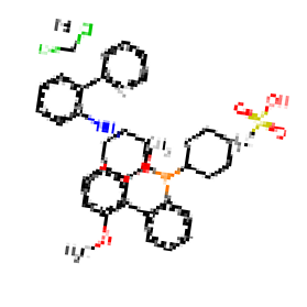 COc1cccc(OC)c1-c1ccccc1P(C1CCCCC1)C1CCCCC1.CS(=O)(=O)O.ClCCl.Nc1ccccc1-c1[c-]cccc1.[Pd]